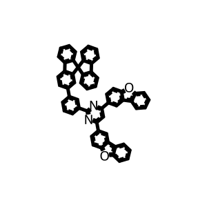 c1cc(-c2ccc3c(c2)C2(c4ccccc4-c4ccccc42)c2ccccc2-3)cc(-c2nc(-c3ccc4oc5ccccc5c4c3)cc(-c3ccc4oc5ccccc5c4c3)n2)c1